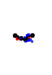 Nc1ncc(C2=CCN(C(=O)Cc3ccccc3)CC2)nc1-c1nnc(-c2ccccc2)o1